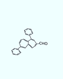 O=CC1=CC=C2C=C(c3ccccc3)C=CC=C2C(c2ccccc2)=C1